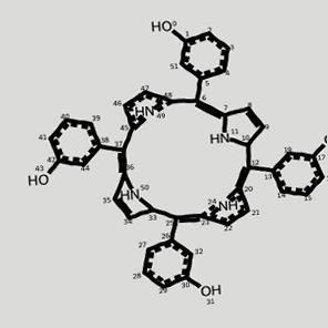 Oc1cccc(/C2=C3\C=CC(N3)/C(c3cccc(O)c3)=c3/cc/c([nH]3)=C(\c3cccc(O)c3)C3C=C/C(=C(\c4cccc(O)c4)c4ccc2[nH]4)N3)c1